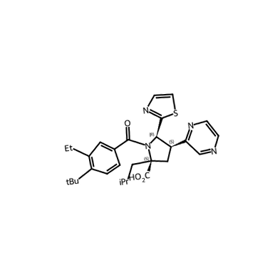 CCc1cc(C(=O)N2[C@@H](c3nccs3)[C@@H](c3cnccn3)C[C@@]2(CC(C)C)C(=O)O)ccc1C(C)(C)C